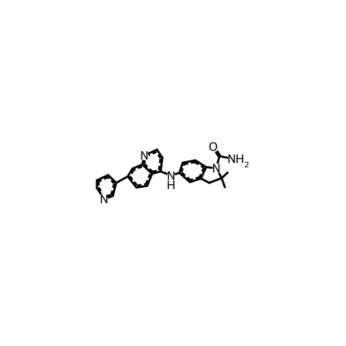 CC1(C)Cc2cc(Nc3ccnc4cc(-c5cccnc5)ccc34)ccc2N1C(N)=O